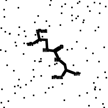 CCCCCC(CCC)CNC(=O)NCC(CCC)CCCCC